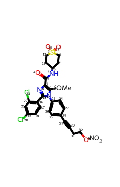 COc1c(C(=O)NC2CCS(=O)(=O)CC2)nc(-c2ccc(Cl)cc2Cl)n1-c1ccc(C#CCCO[N+](=O)[O-])cc1